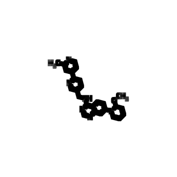 COC1C=CC=CN1c1ccc2c(NCc3ccc(-c4ccnc(C)c4)nc3)ncnc2c1